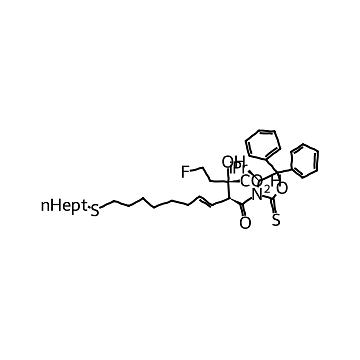 CCCCCCCSCCCCCC/C=C/[C@H](C(=O)N1C(=S)OC(c2ccccc2)(c2ccccc2)[C@@H]1C(C)C)[C@@](O)(CCF)C(=O)O